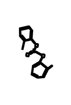 Cc1ccccc1OS(=O)Oc1ccccc1C